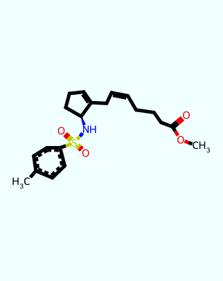 COC(=O)CCC/C=C\CC1=CCC[C@@H]1NS(=O)(=O)c1ccc(C)cc1